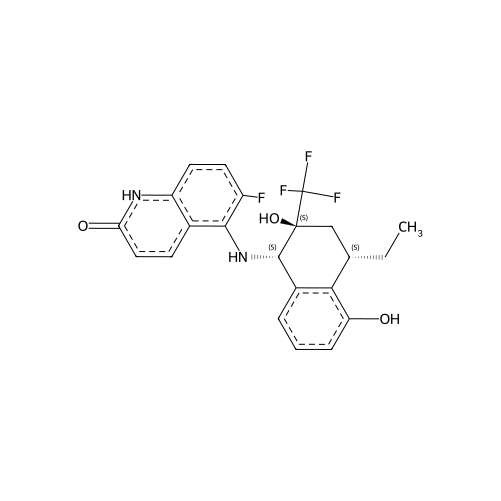 CC[C@H]1C[C@@](O)(C(F)(F)F)[C@@H](Nc2c(F)ccc3[nH]c(=O)ccc23)c2cccc(O)c21